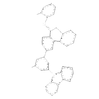 Cc1cc(-c2ccc3c(c2)-c2ccccc2C/C3=N\c2ccccc2C)cc(-n2c3ccccc3c3ccccc32)c1